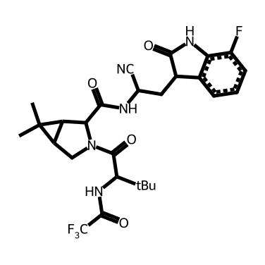 CC(C)(C)C(NC(=O)C(F)(F)F)C(=O)N1CC2C(C1C(=O)NC(C#N)CC1C(=O)Nc3c(F)cccc31)C2(C)C